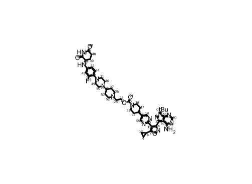 CC(C)(C)n1nc(-c2noc(C3CC3)c2-c2ncc(C3CCN(C(=O)OCCN4CCC(N5CCN(c6ccc(NC7CCC(=O)NC7=O)cc6F)CC5)CC4)CC3)cn2)c2c(N)ncnc21